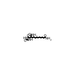 NC(=O)CCCCCCCCCC(C(N)=O)C1NCC(=O)NC1=O